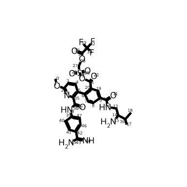 COc1ccc(-c2ccc(C(=O)NCC(N)C(C)C)cc2C(=O)OS(=O)(=O)COC(=O)C(F)(F)F)c(C(=O)Nc2ccc(C(=N)N)cc2)n1